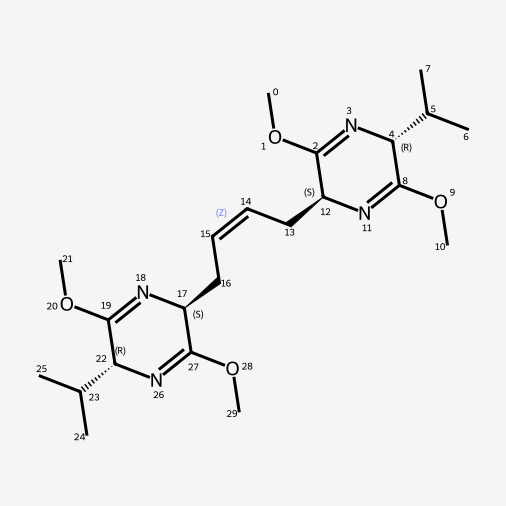 COC1=N[C@H](C(C)C)C(OC)=N[C@H]1C/C=C\C[C@@H]1N=C(OC)[C@@H](C(C)C)N=C1OC